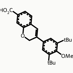 COc1c(C(C)(C)C)cc(C2=Cc3ccc(C(=O)O)cc3OC2)cc1C(C)(C)C